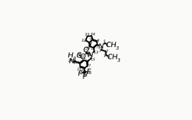 CCCCN(CC)c1cc2c(cc1CN(Cc1cc(C#N)cc(C(F)(F)F)c1)C(=O)OC)CCC2